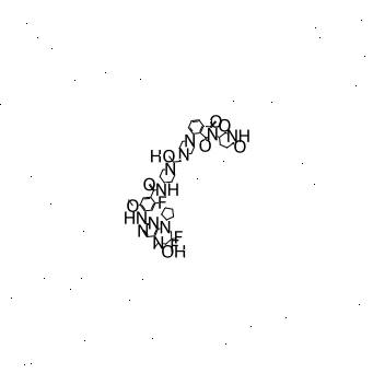 COc1cc(C(=O)NC2CCN(C(O)CN3CCN(c4cccc5c4C(=O)N(C4CCC(=O)NC4=O)C5=O)CC3)CC2)c(F)cc1Nc1ncc2c(n1)N(C1CCCC1)CC(F)(F)C(O)N2C